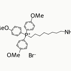 COc1ccc([P+](CCCCCCCCN)(c2ccc(OC)cc2)c2ccc(OC)cc2)cc1.[Br-]